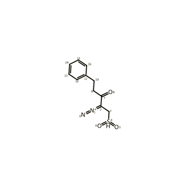 [N-]=[N+]=C(C[SH](=O)=O)C(=O)CCc1ccccc1